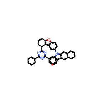 C1=Cc2oc3ccc(-n4c5ccccc5c5cc6ccccc6cc54)cc3c2C(c2nc(-c3ccccc3)nc(-c3ccccc3)n2)C1